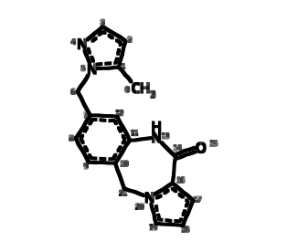 Cc1ccnn1Cc1ccc2c(c1)NC(=O)c1cccn1C2